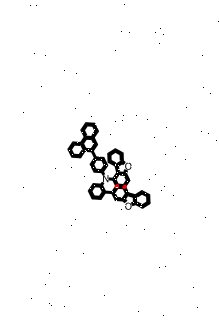 c1ccc(N(c2ccc(-c3cc4ccccc4c4ccccc34)cc2)c2cccc3oc4ccccc4c23)c(-c2ccc3c(c2)oc2ccccc23)c1